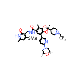 CSc1cc(C)[nH]c(=O)c1CNC(=O)c1cc(-c2ccc(N3C[C@@H](C)O[C@@H](C)C3)nc2)c2c(c1C)O[C@@](C)(C1CCN(CC(F)(F)F)CC1)O2